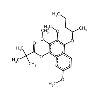 CCCC(C)Oc1c(OC)c(OC)c(OC(=O)C(C)(C)C)c2cc(OC)ccc12